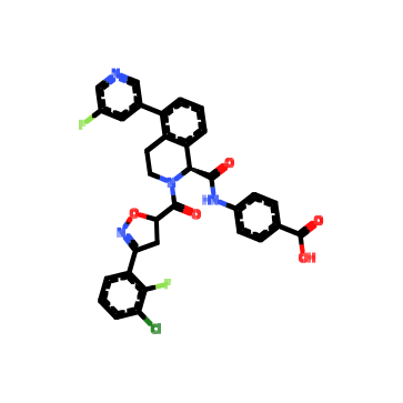 O=C(O)c1ccc(NC(=O)[C@@H]2c3cccc(-c4cncc(F)c4)c3CCN2C(=O)C2CC(c3cccc(Cl)c3F)=NO2)cc1